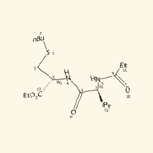 CCCCSC[C@H](NC(=O)[C@@H](NC(=O)CC)C(C)C)C(=O)OCC